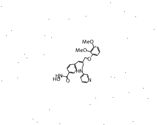 COc1cccc(OCC(=Cc2ccc(C(=O)NO)cc2)CNc2cccnc2)c1OC